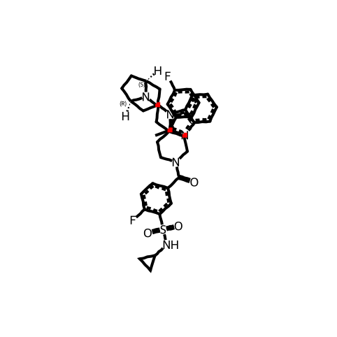 Cc1nc2ccccc2n1C1C[C@H]2CC[C@@H](C1)N2CCC1(c2cccc(F)c2)CCN(C(=O)c2ccc(F)c(S(=O)(=O)NC3CC3)c2)CC1